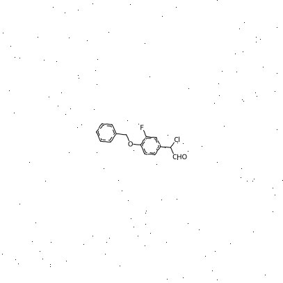 O=CC(Cl)c1ccc(OCc2ccccc2)c(F)c1